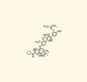 CO[C@@H]1[C@@H](OC(=O)NC2CCCC2)[C@@H](O)[C@H](Oc2ccc3c(c2C)OC(O)C(NC(=O)c2ccc(O)c(CC=C(C)C)c2)=C3O)OC1(C)C